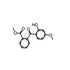 COC(=O)c1ccccc1C(=O)c1ccc(OC)cc1O